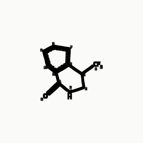 O=C1NCC(C(F)(F)F)c2ccccc21